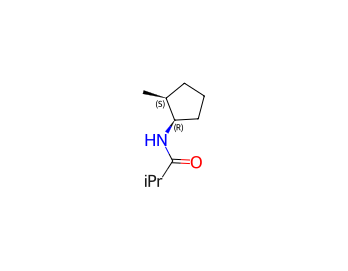 CC(C)C(=O)N[C@@H]1CCC[C@@H]1C